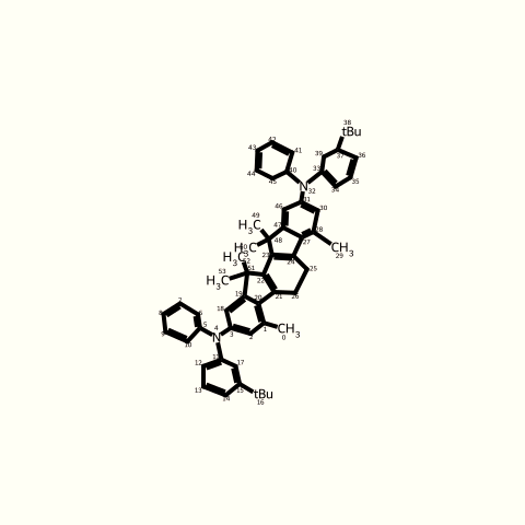 Cc1cc(N(c2ccccc2)c2cccc(C(C)(C)C)c2)cc2c1C1=C(C3=C(CC1)c1c(C)cc(N(C4=CC=CC(C(C)(C)C)C4)C4C=CC=CC4)cc1C3(C)C)C2(C)C